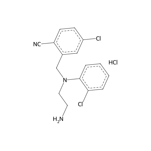 Cl.N#Cc1ccc(Cl)cc1CN(CCN)c1ccccc1Cl